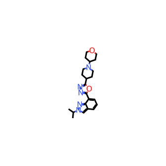 CC(C)n1cc2cccc(-c3nnc(C4CCN(C5CCOCC5)CC4)o3)c2n1